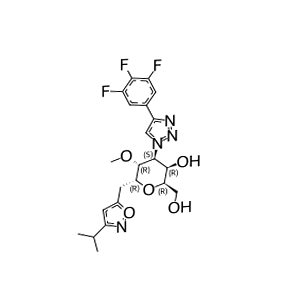 CO[C@@H]1[C@@H](n2cc(-c3cc(F)c(F)c(F)c3)nn2)[C@@H](O)[C@@H](CO)O[C@@H]1Cc1cc(C(C)C)no1